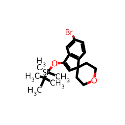 CC(C)(C)[Si](C)(C)OC1=CC2(CCOCC2)c2ccc(Br)cc21